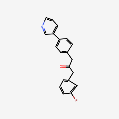 O=C(Cc1ccc(-c2cccnc2)cc1)Cc1cccc(Br)c1